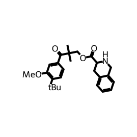 COc1cc(C(=O)C(C)(C)COC(=O)C2Cc3ccccc3CN2)ccc1C(C)(C)C